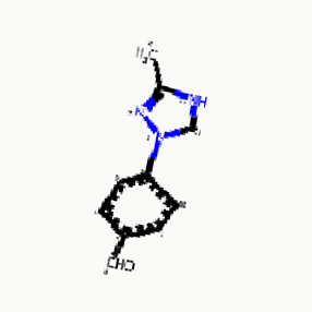 CC1=NN(c2ccc(C=O)cc2)CN1